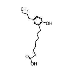 CCCCc1ccc(O)c(CCCCCCCC(=O)O)c1